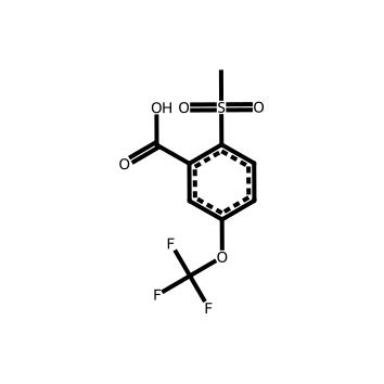 CS(=O)(=O)c1ccc(OC(F)(F)F)cc1C(=O)O